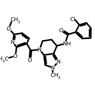 COc1ccc(C(=O)N2CCC(NC(=O)c3ccccc3Cl)c3nn(C)cc32)c(OC)n1